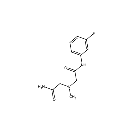 CN(CC(N)=O)CC(=O)Nc1cccc(F)c1